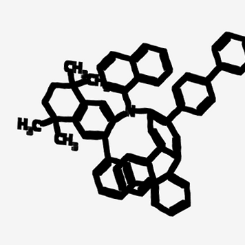 CC1(C)CCC(C)(C)c2cc3c(cc21)-c1cccc(c1)-c1ccccc1-c1cc(-c2ccc(-c4ccccc4)cc2)c(cc1-c1ccccc1)N3c1cccc2ccccc12